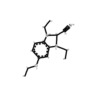 CCOc1ccc2c(c1)N(CC)C(C#N)N2CC